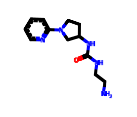 NCCNC(=O)NC1CCN(c2ccccn2)C1